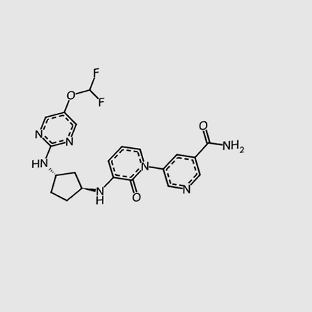 NC(=O)c1cncc(-n2cccc(N[C@H]3CC[C@H](Nc4ncc(OC(F)F)cn4)C3)c2=O)c1